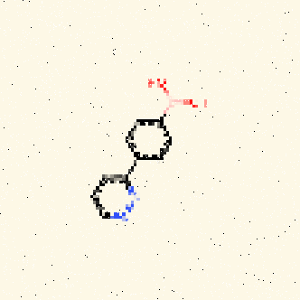 OB(O)c1ccc(-c2cccnn2)cc1